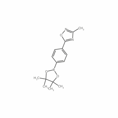 Cc1noc(-c2ccc(B3OC(C)(C)C(C)(C)O3)cc2)n1